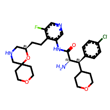 N[C@H](C(=O)Nc1cncc(F)c1CC[C@@H]1CNCC2(CCOCC2)O1)[C@@H](c1ccc(Cl)cc1)C1CCOCC1